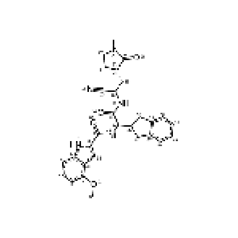 COc1cccc2[nH]c(C(=O)NC(C(=O)NC(C#N)C[C@@H]3CCNC3=O)C3Cc4ccccc4C3)cc12